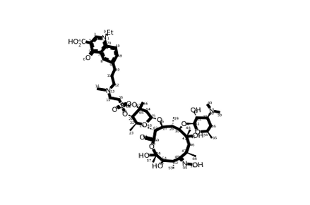 CCn1cc(C(=O)O)c(=O)c2cc(CCCN(C)CCS(=O)(=O)O[C@H]3[C@H](C)O[C@@H](O[C@H]4[C@H](C)[C@@H](O[C@@H]5O[C@H](C)C[C@H](N(C)C)[C@H]5O)[C@](C)(O)C[C@@H](C)/C(=N\O)[C@H](C)[C@@H](O)[C@](C)(O)OC(=O)[C@@H]4C)C[C@@]3(C)OC)ccc21